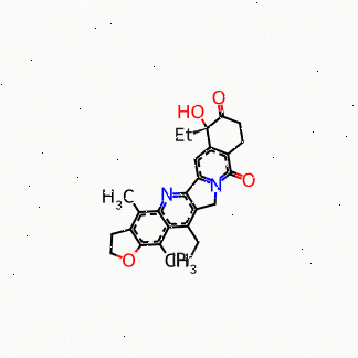 CC[C@@]1(O)C(=O)CCc2c1cc1n(c2=O)Cc2c-1nc1c(C)c3c(c(C)c1c2CC(C)C)OCC3